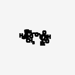 CCc1cn(COCC(O[SiH](C)C)C(C)(C)C)c(=O)[nH]c1=O